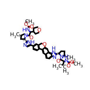 COC(=O)NC(C(=O)N1[C@@H](C)CC[C@H]1c1nc2ccc3cc4c(cc3c2[nH]1)OCc1cc(-c2cnc([C@@H]3C[C@H](C)CN3C(=O)C(NC(=O)OC)C3CCOCC3)[nH]2)ccc1-4)C(C)C